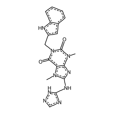 Cn1c(Nc2ncn[nH]2)nc2c1c(=O)n(Cc1cc3ccccc3[nH]1)c(=O)n2C